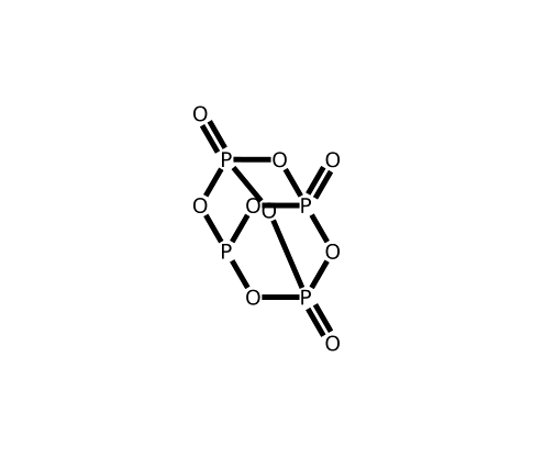 O=P12OP3OP(=O)(O1)OP(=O)(O3)O2